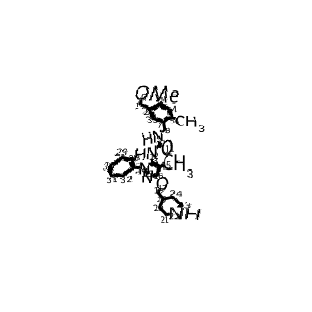 COCc1ccc(C)c(CNC(=O)Nc2c(C)c(OCC3CCNCC3)nn2-c2ccccc2)c1